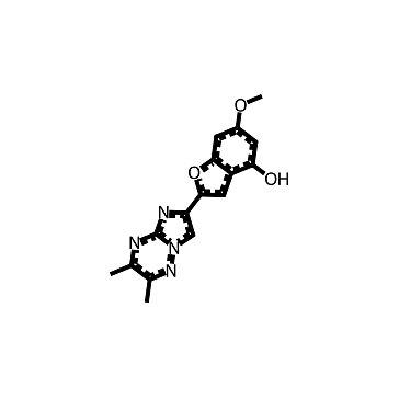 COc1cc(O)c2cc(-c3cn4nc(C)c(C)nc4n3)oc2c1